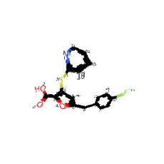 O=C(O)c1oc(Cc2ccc(F)cc2)cc1Sc1ccccn1